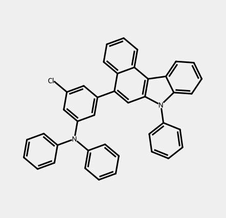 Clc1cc(-c2cc3c(c4ccccc24)c2ccccc2n3-c2ccccc2)cc(N(c2ccccc2)c2ccccc2)c1